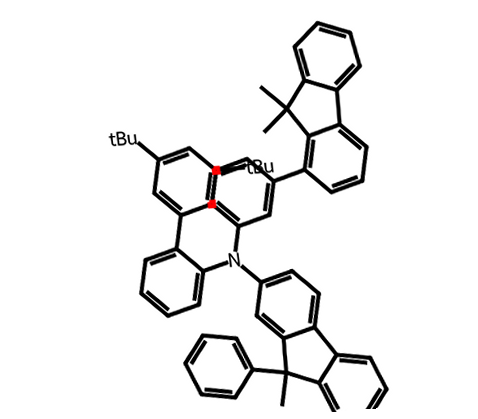 CC(C)(C)c1cc(-c2ccccc2N(c2cccc(-c3cccc4c3C(C)(C)c3ccccc3-4)c2)c2ccc3c(c2)C(C)(c2ccccc2)c2ccccc2-3)cc(C(C)(C)C)c1